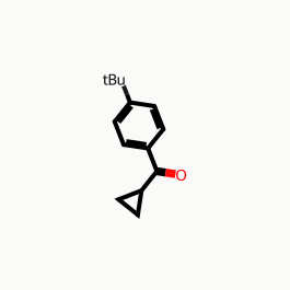 CC(C)(C)c1ccc(C(=O)C2CC2)cc1